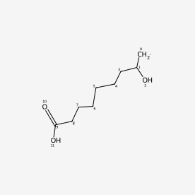 [CH2]C(O)CCCCC[CH]C(=O)O